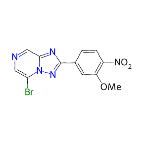 COc1cc(-c2nc3cncc(Br)n3n2)ccc1[N+](=O)[O-]